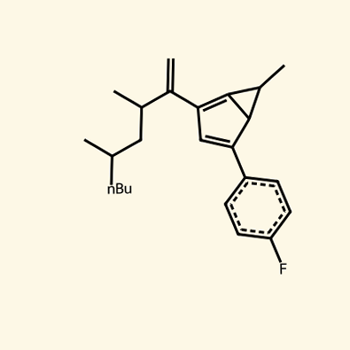 C=C(C1=C2C(C)C2C(c2ccc(F)cc2)=C1)C(C)CC(C)CCCC